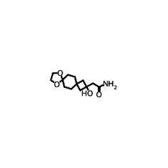 NC(=O)CC1(O)CC2(CCC3(CC2)OCCO3)C1